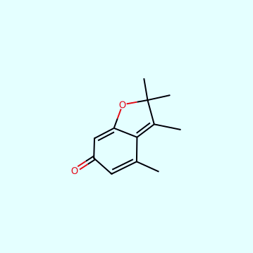 CC1=CC(=O)C=C2OC(C)(C)C(C)=C12